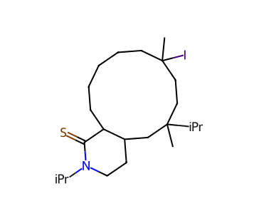 CC(C)N1CCC2CC(C)(C(C)C)CCC(C)(I)CCCCCC2C1=S